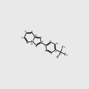 FC(F)(F)c1ccc(-c2cc3ccccn3c2)cc1